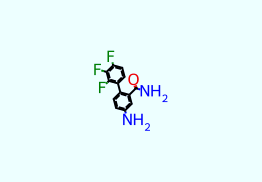 NC(=O)c1cc(N)ccc1-c1ccc(F)c(F)c1F